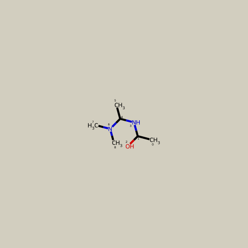 CC(O)NC(C)N(C)C